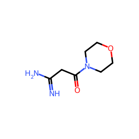 N=C(N)CC(=O)N1CCOCC1